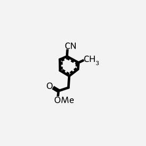 COC(=O)Cc1ccc(C#N)c(C)c1